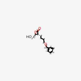 O=C(O)[C@H]1OC(=O)[C@@H]1CCCCOCc1ccccc1